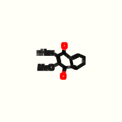 CCCCCCC1=C(OC)C(=O)c2ccccc2C1=O